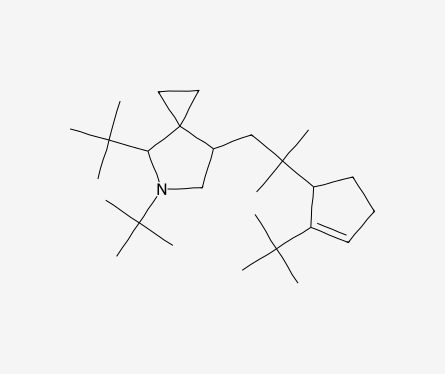 CC(C)(C)C1=CCCC1C(C)(C)CC1CN(C(C)(C)C)C(C(C)(C)C)C12CC2